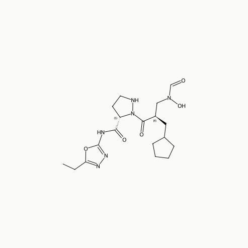 CCc1nnc(NC(=O)[C@@H]2CCNN2C(=O)[C@H](CC2CCCC2)CN(O)C=O)o1